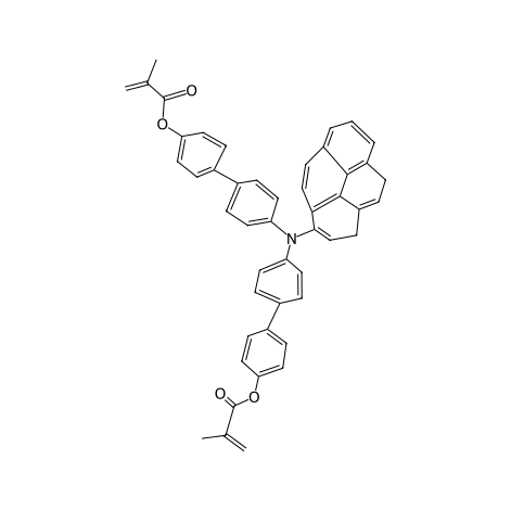 C=C(C)C(=O)Oc1ccc(-c2ccc(N(C3=CCC4=CCc5cccc6ccc3c4c56)c3ccc(-c4ccc(OC(=O)C(=C)C)cc4)cc3)cc2)cc1